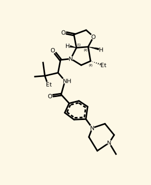 CC[C@@H]1CN(C(=O)C(NC(=O)c2ccc(N3CCN(C)CC3)cc2)C(C)(C)CC)[C@@H]2C(=O)CO[C@H]12